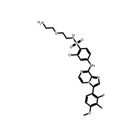 COc1ccc(-c2cnc3c(Nc4ccc(S(=O)(=O)NCCOCCN)c(Cl)c4)nccn23)c(F)c1F